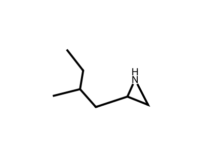 CCC(C)CC1CN1